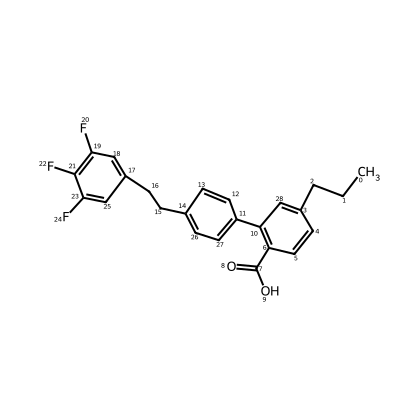 CCCc1ccc(C(=O)O)c(-c2ccc(CCc3cc(F)c(F)c(F)c3)cc2)c1